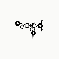 O=c1c(OC2CCC(F)C2)c(N2CCN([S+]([O-])Cc3ccccc3)CC2)cnn1-c1cc(F)cc(F)c1